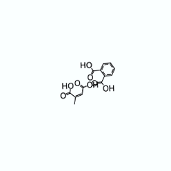 CC(=CC(=O)O)C(=O)O.O=C(O)c1ccccc1C(=O)O